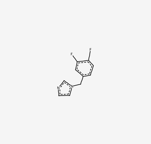 Fc1ccc(Cn2ccnc2)cc1F